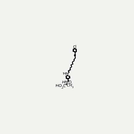 C[C@H](NC(=O)c1ccc(NCCCCCCCCCCCC#Cc2ccc(Cl)cc2)cc1)C(=O)O